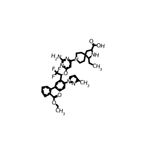 CCOC(=O)c1ccccc1-c1ccc(-n2ccc(C)n2)c([C@@H](Oc2cc(N3CCC4(CC3)CC(C(=O)O)NC4CC)nc(N)n2)C(F)(F)F)c1